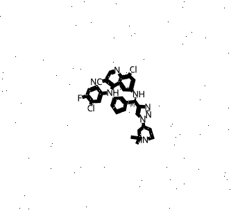 CC1(C)CC(n2cc([C@H](Nc3cc(Cl)c4ncc(C#N)c(Nc5ccc(F)c(Cl)c5)c4c3)c3ccccc3)nn2)CCN1